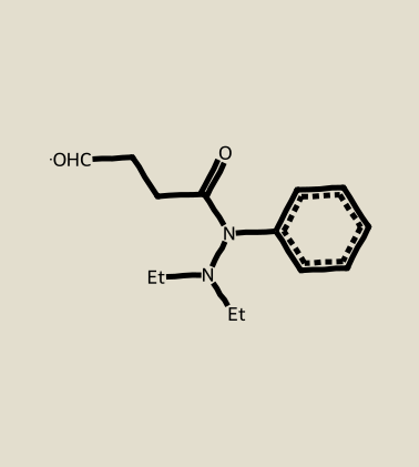 CCN(CC)N(C(=O)CC[C]=O)c1ccccc1